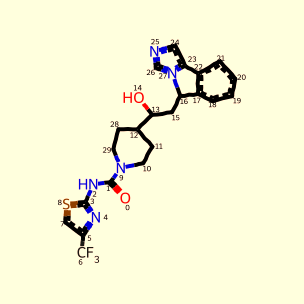 O=C(Nc1nc(C(F)(F)F)cs1)N1CCC(C(O)CC2c3ccccc3-c3cncn32)CC1